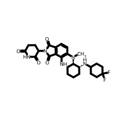 CN(c1ccc2c(c1N)C(=O)N(C1CCC(=O)NC1=O)C2=O)[C@@H]1CCCC[C@H]1NC1CCC(F)(F)CC1